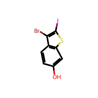 Oc1ccc2c(Br)c(I)sc2c1